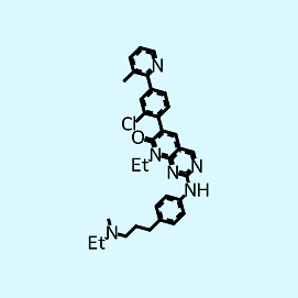 CCN(C)CCCc1ccc(Nc2ncc3cc(-c4ccc(-c5ncccc5C)cc4Cl)c(=O)n(CC)c3n2)cc1